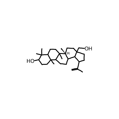 C=C(C)C1CCC2(CO)CC[C@]3(C)C(CCC4C5(C)CCC(O)C(C)(C)C5CCC43C)C12